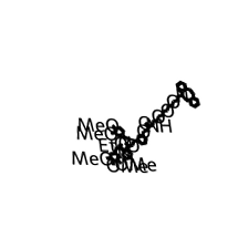 CC[C@H](C(=O)N1CCCC[C@H]1C(=O)O[C@H](CCc1ccc(OC)c(OC)c1)c1cccc(OCC(=O)NCCOCCOCCOCCN2Cc3ccccc3/C=C\c3ccccc32)c1)c1cc(OC)c(OC)c(OC)c1